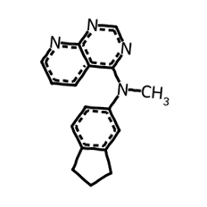 CN(c1ccc2c(c1)CCC2)c1ncnc2ncccc12